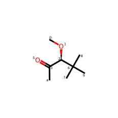 CO[C@H](C(C)=O)C(C)(C)C